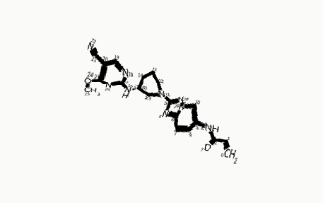 C=CC(=O)Nc1ccc2nc(N3CCC[C@@H](Nc4ncc(C#N)c(OC)n4)C3)nn2c1